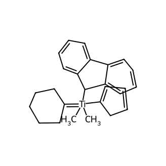 [CH3][Ti]([CH3])([C]1=CC=CC1)(=[C]1CCCCC1)[CH]1c2ccccc2-c2ccccc21